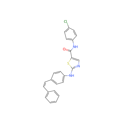 O=C(Nc1ccc(Cl)cc1)c1cnc(Nc2ccc(/C=C\c3ccccc3)cc2)s1